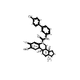 CC(C)(C)C1C[C@@]2(C)C(=CC1=O)N(C(=O)Nc1cccc(-c3ccc(Cl)cc3)c1)C[C@H]1[C@@H]3CCC[C@@]3(C)CC[C@@H]12